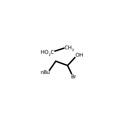 CC(=O)O.CCCCCC(O)Br